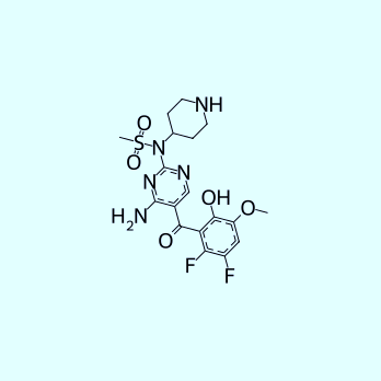 COc1cc(F)c(F)c(C(=O)c2cnc(N(C3CCNCC3)S(C)(=O)=O)nc2N)c1O